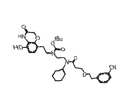 CC(C)(C)OC(=O)N(CCc1ccc(O)c2c1OCC(=O)N2)CCN(C(=O)CCOCCc1cccc(C#N)c1)C1CCCCC1